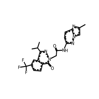 Cc1cn2nc(NC(=O)Cn3nc(C(C)C)c4cc(C(F)(F)F)ccc4c3=O)ccc2n1